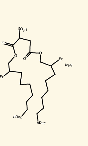 CCCCCCCCCCCCCCCCC(CC)COC(=O)CC(C(=O)OCC(CC)CCCCCCCCCCCCCCCC)S(=O)(=O)O.[NaH]